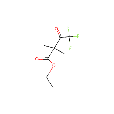 CCOC(=O)C(C)(C)C(=O)C(F)(F)F